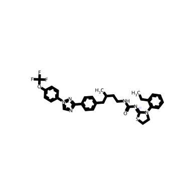 CCc1ccccc1N1CCS/C1=N\C(=O)NCCC(C)Cc1ccc(-c2ncn(-c3ccc(OC(F)(F)F)cc3)n2)cc1